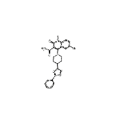 Cn1c(=O)c(C(N)=O)c(N2CCC(c3nnc(-c4ccccc4)o3)CC2)c2cc(Br)ccc21